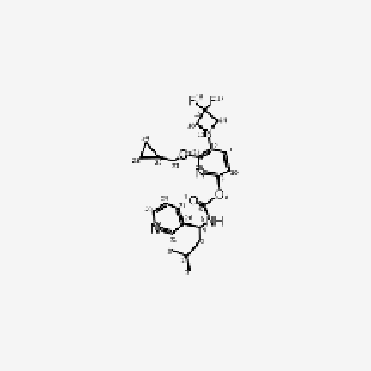 CC(C)CC(NC(=O)Oc1ccc(N2CC(F)(F)C2)c(OCC2CC2)n1)c1cccnc1